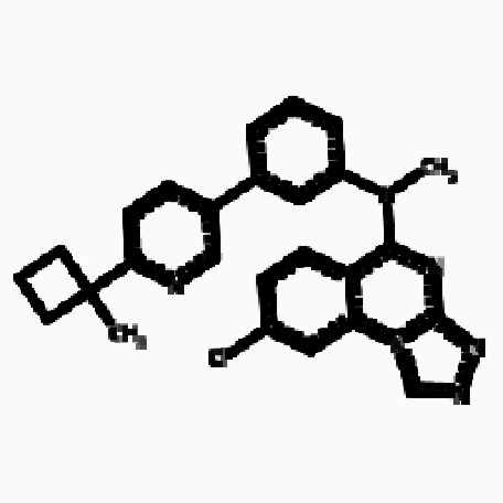 CN(c1cccc(-c2ccc(C3(C)CCC3)nc2)c1)c1nc2nncn2c2cc(Cl)ccc12